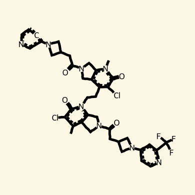 Cc1c2c(n(CCc3c4c(n(C)c(=O)c3Cl)CN(C(=O)CC3CN(c5cccnc5)C3)C4)c(=O)c1Cl)CN(C(=O)CC1CN(c3ccnc(C(F)(F)F)c3)C1)C2